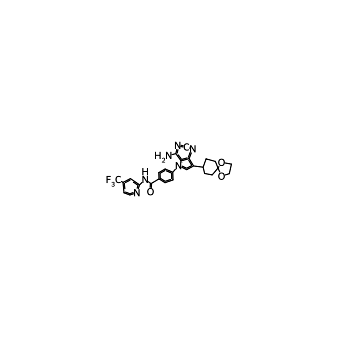 Nc1ncnc2c(C3CCC4(CC3)OCCO4)cn(-c3ccc(C(=O)Nc4cc(C(F)(F)F)ccn4)cc3)c12